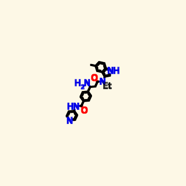 CCN(C(=O)CC(N)c1ccc(C(=O)Nc2ccncc2)cc1)c1c[nH]c2ccc(C)cc12